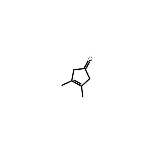 CC1=C(C)CC(=O)C1